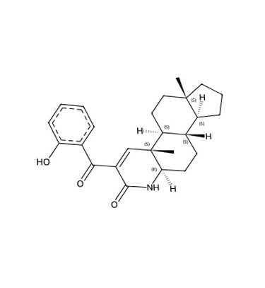 C[C@@]12CCC[C@H]1[C@@H]1CC[C@H]3NC(=O)C(C(=O)c4ccccc4O)=C[C@]3(C)[C@H]1CC2